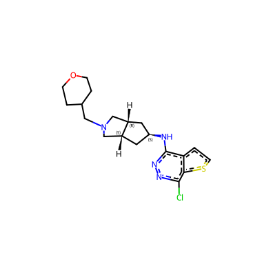 Clc1nnc(N[C@H]2C[C@@H]3CN(CC4CCOCC4)C[C@@H]3C2)c2ccsc12